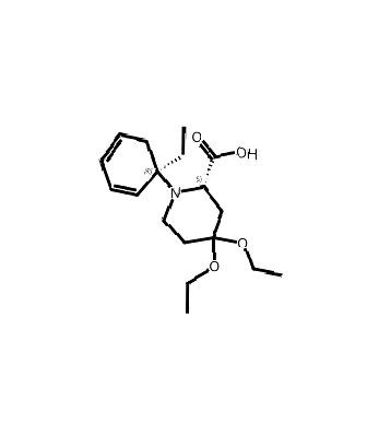 CCOC1(OCC)CCN([C@@]2(CC)C=CC=CC2)[C@H](C(=O)O)C1